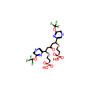 O=C(CC(SCCS(=O)(=O)O)c1cncc(OC(F)(F)F)n1)CC(SCCS(=O)(=O)O)c1cncc(OC(F)(F)F)n1